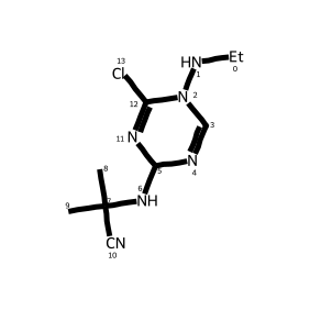 CCNN1C=NC(NC(C)(C)C#N)N=C1Cl